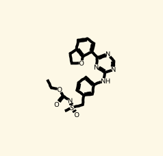 CCOC(=O)N=S(C)(=O)Cc1cccc(Nc2ncnc(-c3cccc4c3OCC4)n2)c1